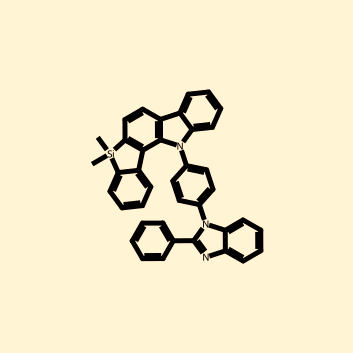 C[Si]1(C)c2ccccc2-c2c1ccc1c3ccccc3n(-c3ccc(-n4c(-c5ccccc5)nc5ccccc54)cc3)c21